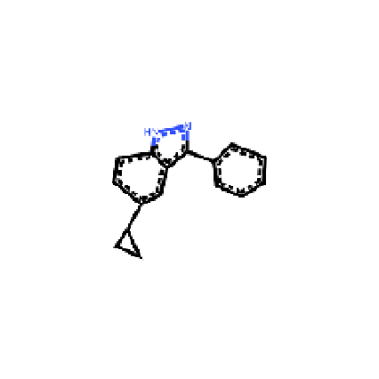 c1ccc(-c2n[nH]c3ccc(C4CC4)cc23)cc1